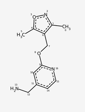 Cc1noc(C)c1COc1cc(CN)ccn1